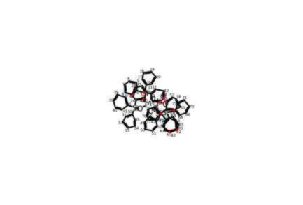 O=P(O[Si](c1ccccc1)(c1ccccc1)c1ccccc1)(O[Si](c1ccccc1)(c1ccccc1)c1ccccc1)OP(=O)(O[Si](c1ccccc1)(c1ccccc1)c1ccccc1)O[Si](c1ccccc1)(c1ccccc1)c1ccccc1